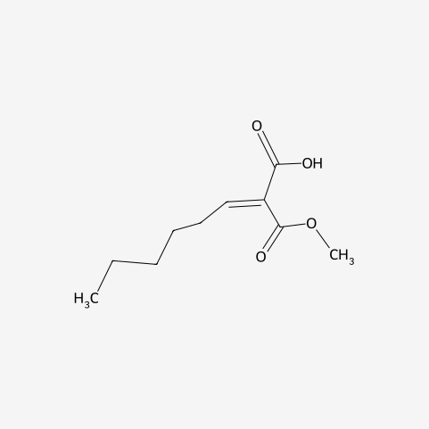 CCCCCC=C(C(=O)O)C(=O)OC